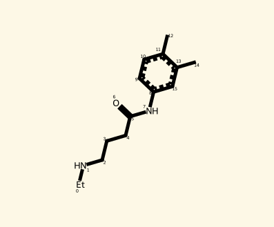 CCNCCCC(=O)Nc1ccc(C)c(C)c1